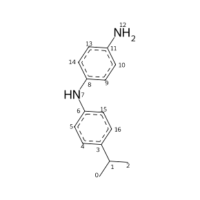 CC(C)c1ccc(Nc2ccc(N)cc2)cc1